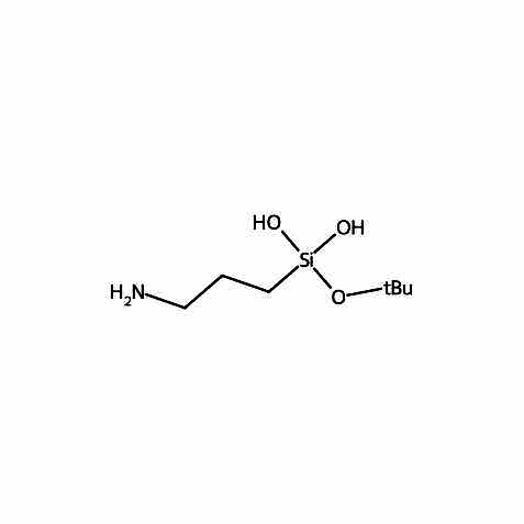 CC(C)(C)O[Si](O)(O)CCCN